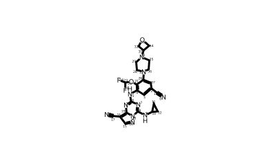 N#Cc1cc(Nc2nc(NC3CC3)n3ncc(C#N)c3n2)c(OC(F)F)c(N2CCN(C3COC3)CC2)c1